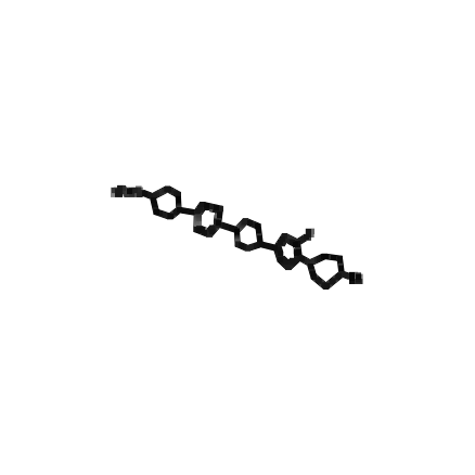 CCCCCC1CCC(c2ccc(C3CCC(c4ccc(C5CCC(CC)CC5)c(F)c4)CC3)cc2)CC1